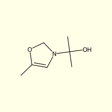 CC1=CN(C(C)(C)O)CO1